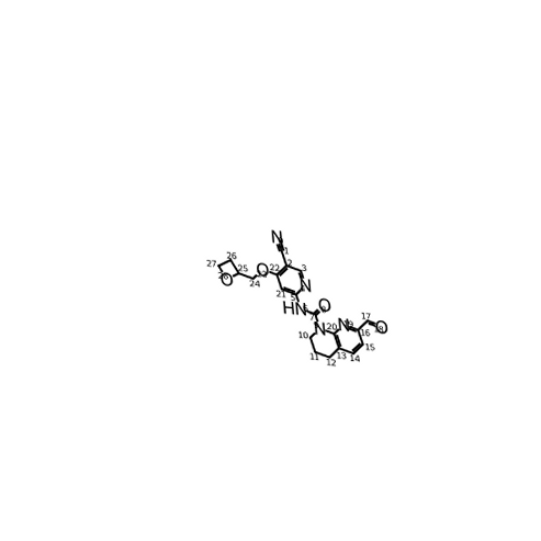 N#Cc1cnc(NC(=O)N2CCCc3ccc(C=O)nc32)cc1OCC1CCO1